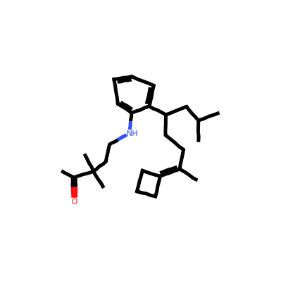 CC(=O)C(C)(C)CCNc1ccccc1C(CCC(C)=C1CCC1)CC(C)C